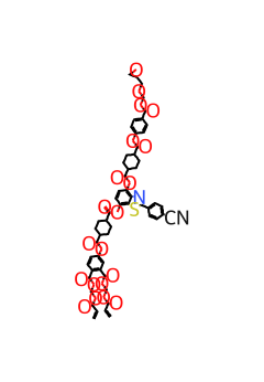 C=CC(=O)OCOC(=O)c1ccc(OC(=O)C2CCC(C(=O)Oc3ccc(OC(=O)C4CCC(C(=O)Oc5ccc(C(=O)OCOCC6CO6)cc5)CC4)c4nc(-c5ccc(C#N)cc5)sc34)CC2)cc1C(=O)OCOC(=O)C=C